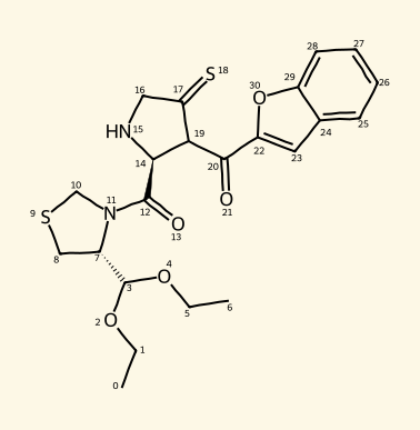 CCOC(OCC)[C@@H]1CSCN1C(=O)[C@H]1NCC(=S)C1C(=O)c1cc2ccccc2o1